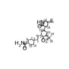 COc1c(/C=C/c2ccc(C(N)=O)cc2)cc(-c2cc(F)c[nH]c2=O)cc1C(C)(C)C